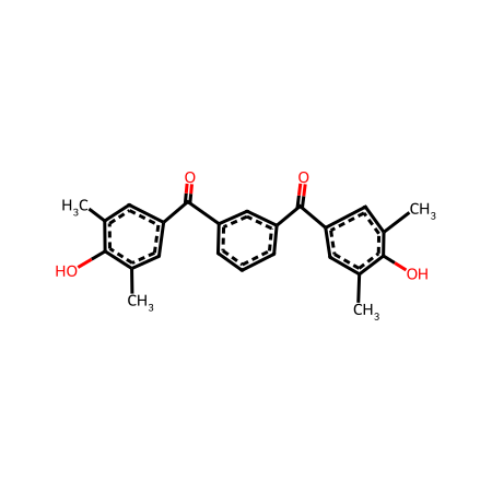 Cc1cc(C(=O)c2cccc(C(=O)c3cc(C)c(O)c(C)c3)c2)cc(C)c1O